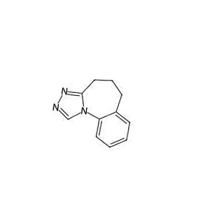 c1ccc2c(c1)CCCc1nncn1-2